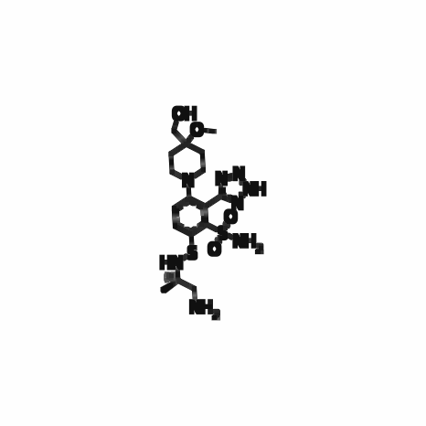 COC1(CO)CCN(c2ccc(SN[C@H](C)CN)c(S(N)(=O)=O)c2-c2nn[nH]n2)CC1